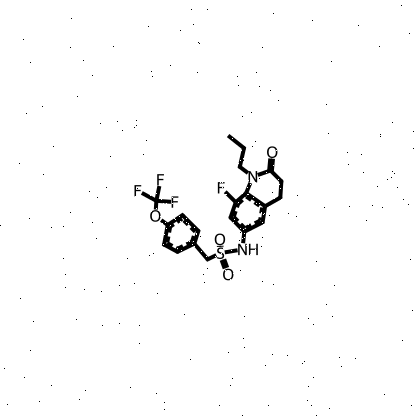 CCCN1C(=O)CCc2cc(NS(=O)(=O)Cc3ccc(OC(F)(F)F)cc3)cc(F)c21